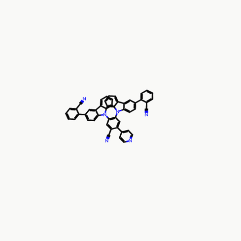 N#Cc1ccccc1-c1ccc2c(c1)c1ccccc1n2-c1cc(C#N)c(-c2ccncc2)cc1-n1c2ccccc2c2cc(-c3ccccc3C#N)ccc21